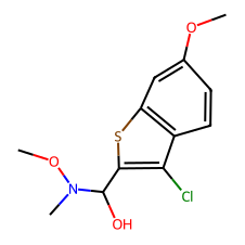 COc1ccc2c(Cl)c(C(O)N(C)OC)sc2c1